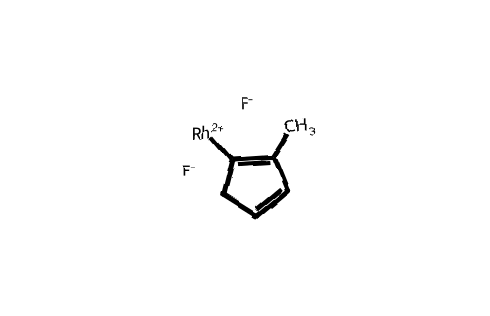 CC1=[C]([Rh+2])CC=C1.[F-].[F-]